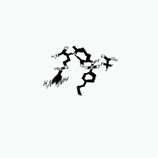 CCCc1ccc(S(=O)(=O)Nc2ccc(C)n(C(CCONC(=N)N)C(N)=O)c2=O)cc1.O=C(O)C(F)(F)F